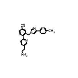 Cc1ccc(-c2cn(Cc3cc(C#N)ccc3-c3ccc(CCN)cn3)cn2)cc1